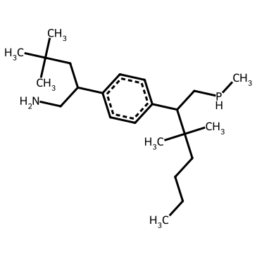 CCCCC(C)(C)C(CPC)c1ccc(C(CN)CC(C)(C)C)cc1